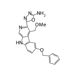 COCc1c(-c2nnc(N)o2)ncc2[nH]c3ccc(OCc4ccccc4)cc3c12